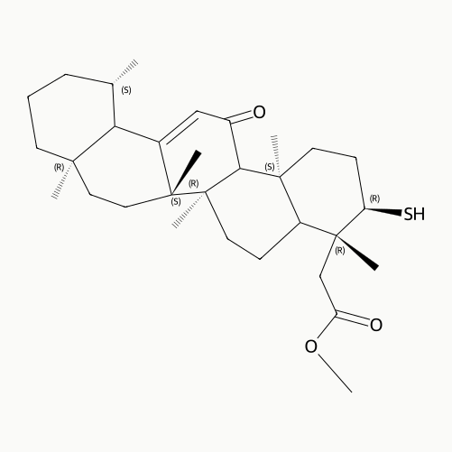 COC(=O)C[C@]1(C)C2CC[C@]3(C)C(C(=O)C=C4C5[C@@H](C)CCC[C@]5(C)CC[C@]43C)[C@@]2(C)CC[C@H]1S